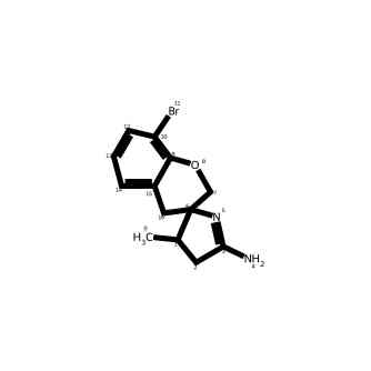 CC1CC(N)=NC12COc1c(Br)cccc1C2